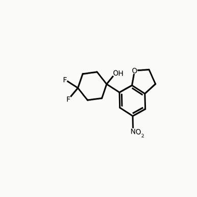 O=[N+]([O-])c1cc2c(c(C3(O)CCC(F)(F)CC3)c1)OCC2